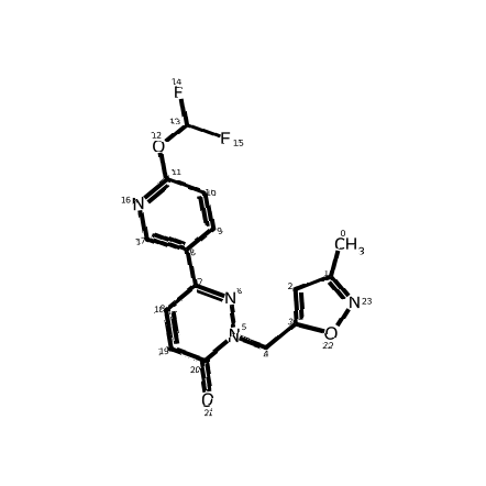 Cc1cc(Cn2nc(-c3ccc(OC(F)F)nc3)ccc2=O)on1